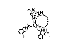 O=C1N[C@]2(C(=O)NS(=O)(=O)C3CC3)C[C@H]2/C=C\CCCCC[C@H](NCc2ccccc2C(F)(F)F)C(=O)N2C[C@H](OC(=O)N3Cc4cccc(F)c4C3)C[C@@H]12